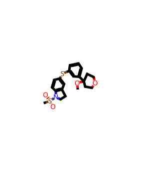 COC1(c2cccc(Sc3ccc4c(c3)CCN4S(C)(=O)=O)c2)CCOCC1